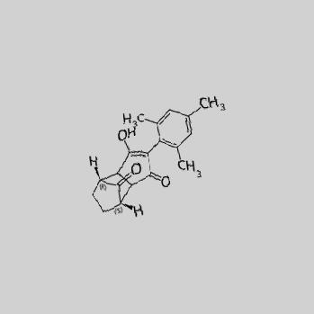 Cc1cc(C)c(C2=C(O)C3C(C2=O)[C@@H]2CC[C@H]3C2=O)c(C)c1